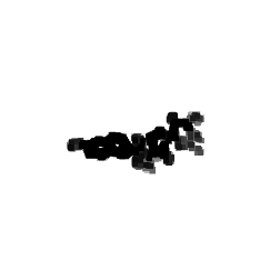 CCN(C(=O)[C@H](C)N1CC[C@H](NS(=O)(=O)c2ccc3cc(Cl)ccc3c2)C1=O)C(C)C